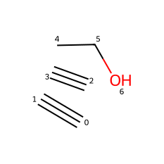 C#C.C#C.CCO